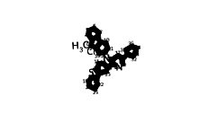 CC1(C)c2ccccc2-c2ccc(-n3c4cc5sc6ccccc6c5cc4c4ncc(-c5ccccc5)cc43)cc21